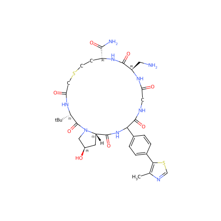 Cc1ncsc1-c1ccc(C2NC(=O)[C@@H]3C[C@@H](O)CN3C(=O)[C@H](C(C)(C)C)NC(=O)CSCC[C@H](C(N)=O)NC(=O)[C@@H](CN)NC(=O)CNC2=O)cc1